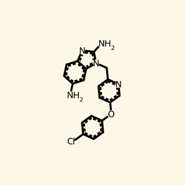 Nc1ccc2nc(N)n(Cc3ccc(Oc4ccc(Cl)cc4)cn3)c2c1